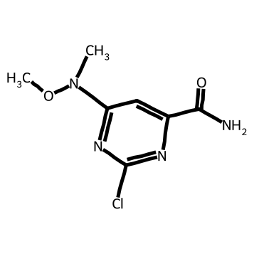 CON(C)c1cc(C(N)=O)nc(Cl)n1